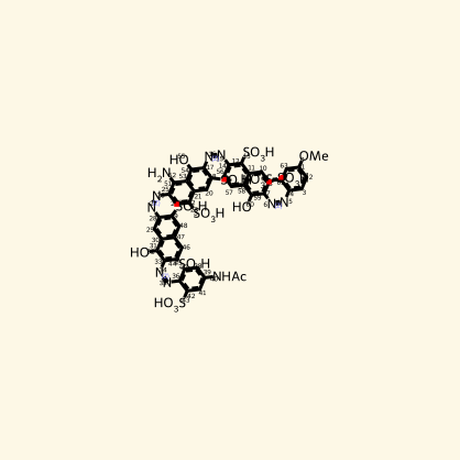 COc1ccc(/N=N\c2c(S(=O)(=O)O)cc3c(S(=O)(=O)O)c(/N=N\c4c(S(=O)(=O)O)cc5c(S(=O)(=O)O)cc(/N=N\c6cc7c(O)c(/N=N\c8ccc(NC(C)=O)cc8S(=O)(=O)O)c(S(=O)(=O)O)cc7cc6S(=O)(=O)O)c(N)c5c4O)ccc3c2O)c(S(=O)(=O)O)c1